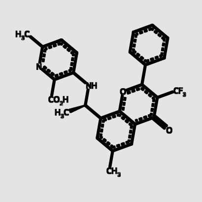 Cc1cc([C@@H](C)Nc2ccc(C)nc2C(=O)O)c2oc(-c3ccccc3)c(C(F)(F)F)c(=O)c2c1